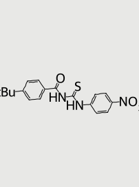 CC(C)(C)c1ccc(C(=O)NC(=S)Nc2ccc([N+](=O)[O-])cc2)cc1